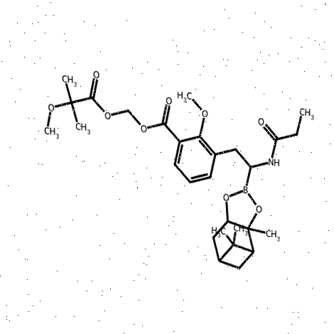 CCC(=O)NC(Cc1cccc(C(=O)OCOC(=O)C(C)(C)OC)c1OC)B1OC2CC3CC(C3(C)C)C2(C)O1